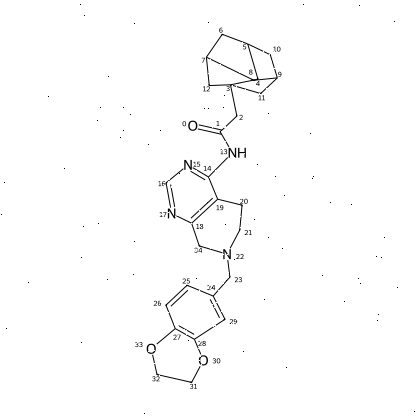 O=C(CC12CC3CC(CC(C3)C1)C2)Nc1ncnc2c1CCN(Cc1ccc3c(c1)OCCO3)C2